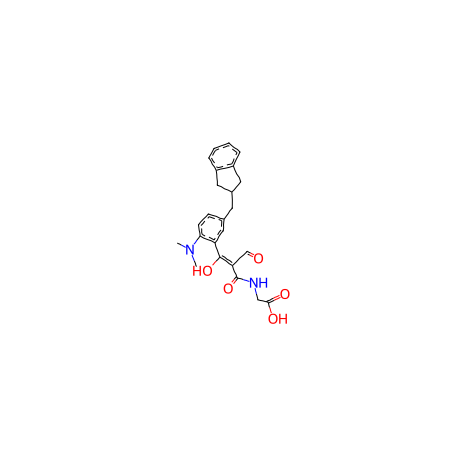 CN(C)c1ccc(CC2Cc3ccccc3C2)cc1/C(O)=C(\C=O)C(=O)NCC(=O)O